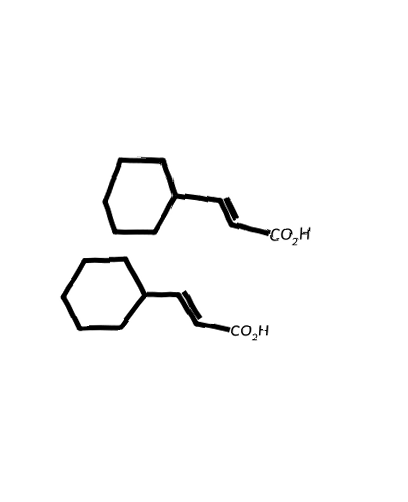 O=C(O)/C=C/C1CCCCC1.O=C(O)/C=C/C1CCCCC1